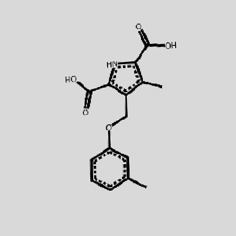 Cc1cccc(OCc2c(C(=O)O)[nH]c(C(=O)O)c2C)c1